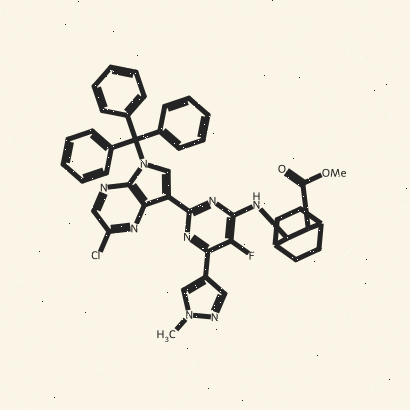 COC(=O)C1C2CCC(CC2)C1Nc1nc(-c2cn(C(c3ccccc3)(c3ccccc3)c3ccccc3)c3ncc(Cl)nc23)nc(-c2cnn(C)c2)c1F